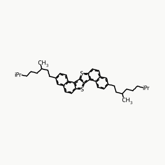 CC(C)CCCC(C)CCc1ccc2c(ccc3sc4c(sc5ccc6cc(CCC(C)CCCC(C)C)ccc6c54)c32)c1